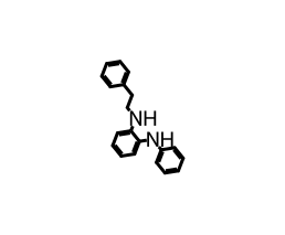 c1ccc(CCNc2ccccc2Nc2ccccc2)cc1